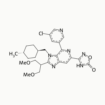 COCC(COC)c1nc2cc(-c3noc(=O)[nH]3)nc(-c3cncc(Cl)c3)c2n1C[C@H]1CC[C@H](C)CC1